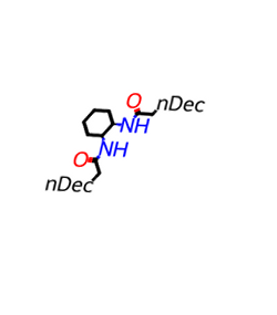 CCCCCCCCCCCC(=O)N[C@H]1CCCC[C@H]1NC(=O)CCCCCCCCCCC